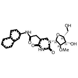 CO[C@@H]1[C@@H](O)[C@@H](CO)O[C@H]1n1cc(CC(=O)Nc2ccc3ccccc3c2)c(=O)[nH]c1=O